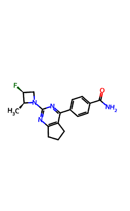 C[C@H]1[C@@H](F)CN1c1nc2c(c(-c3ccc(C(N)=O)cc3)n1)CCC2